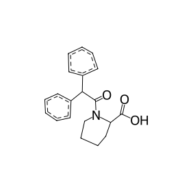 O=C(O)C1CCCCN1C(=O)C(c1ccccc1)c1ccccc1